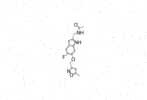 CC(=O)NCc1cc2cc(F)c(OCc3cc(C)on3)cc2[nH]1